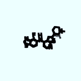 C[C@@H]1[C@@H](c2cc3c(Nc4ccc5scnc5c4F)ccnc3s2)CCCN1C